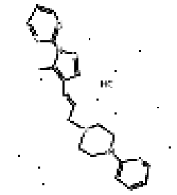 Cc1c(/C=C/CN2CCN(c3ccccn3)CC2)cnn1-c1ncccn1.Cl